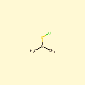 CB(C)SCl